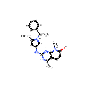 CCOC(=O)c1cc(Nc2nc(C)c3ccc(=O)n(C)c3n2)cn1C(C)c1ccccc1